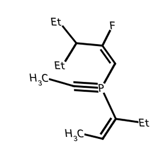 CC#P(/C=C(/F)C(CC)CC)/C(=C\C)CC